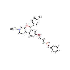 CCc1ccc(COC2CN(C(=O)O)CCC2c2ccc(OCCCOCc3ccccc3)cc2)cc1